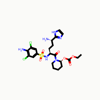 CCOC(=O)O[C@@H]1CCCCN1C(=O)[C@H](CC[C@H](N)c1ncc[nH]1)NS(=O)(=O)c1cc(Cl)c(N)c(Cl)c1